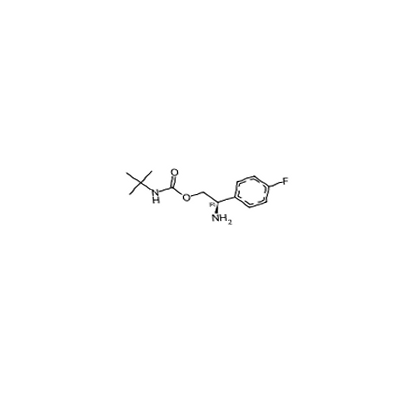 CC(C)(C)NC(=O)OC[C@H](N)c1ccc(F)cc1